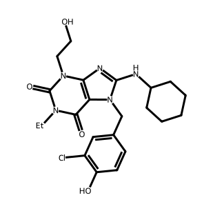 CCn1c(=O)c2c(nc(NC3CCCCC3)n2Cc2ccc(O)c(Cl)c2)n(CCO)c1=O